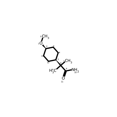 CO[C@H]1CC[C@@H](C(C)(C)C(N)=O)CC1